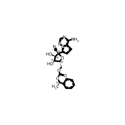 C[C@H](OC(=O)OC[C@H]1O[C@@](C#N)(c2ccc3c(N)ncnn23)[C@H](O)[C@@H]1O)c1ccccc1